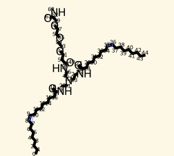 CCCCCCCC/C=C\CCCCCCCC(=O)NCCN(CCNC(=O)CCCCCCC/C=C\CCCCCCCC)CCNC(=O)CCOCCOCCOCC(=O)NC